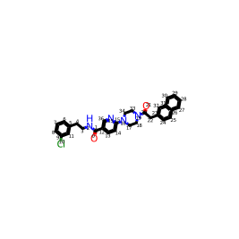 O=C(NCCc1cccc(Cl)c1)c1ccc(N2CCN(C(=O)Cc3ccc4ccccc4c3)CC2)nc1